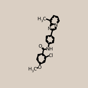 COc1ccc(C(=O)Nc2ccc(-c3cn4cccc(C)c4n3)cc2)c(Cl)c1